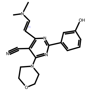 CN(C)/C=C/c1nc(-c2cccc(O)c2)nc(N2CCOCC2)c1C#N